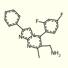 Cc1nc2nc(-c3ccccc3)cn2c(-c2ccc(F)cc2F)c1CN